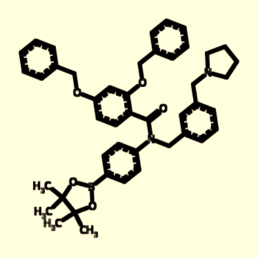 CC1(C)OB(c2ccc(N(Cc3cccc(CN4CCCC4)c3)C(=O)c3ccc(OCc4ccccc4)cc3OCc3ccccc3)cc2)OC1(C)C